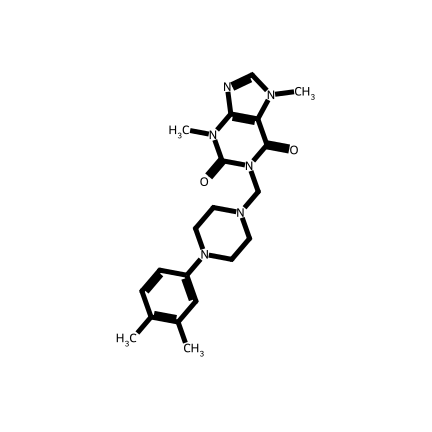 Cc1ccc(N2CCN(Cn3c(=O)c4c(ncn4C)n(C)c3=O)CC2)cc1C